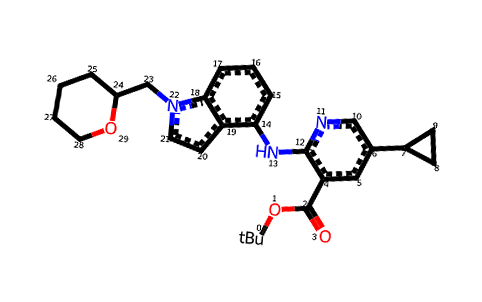 CC(C)(C)OC(=O)c1cc(C2CC2)cnc1Nc1cccc2c1ccn2CC1CCCCO1